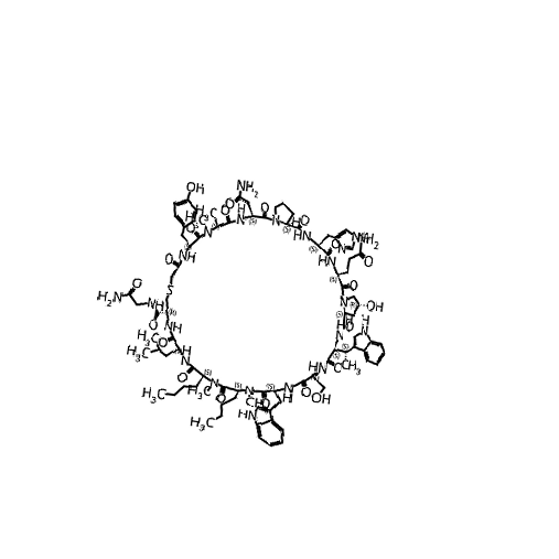 CCCC[C@H]1C(=O)N(C)[C@@H](CCCC)C(=O)N[C@@H](CC(C)C)C(=O)N[C@H](C(=O)NCC(N)=O)CSCC(=O)N[C@@H](Cc2ccc(O)cc2)C(=O)N(C)[C@@H](C)C(=O)N[C@@H](CC(N)=O)C(=O)N2CCC[C@H]2C(=O)N[C@@H](Cc2c[nH]cn2)C(=O)N[C@@H](CCC(N)=O)C(=O)N2C[C@H](O)C[C@H]2C(=O)N[C@@H]([C@@H](C)c2c[nH]c3ccccc23)C(=O)N[C@@H](CO)C(=O)N[C@@H](Cc2c[nH]c3ccccc23)C(=O)N1C